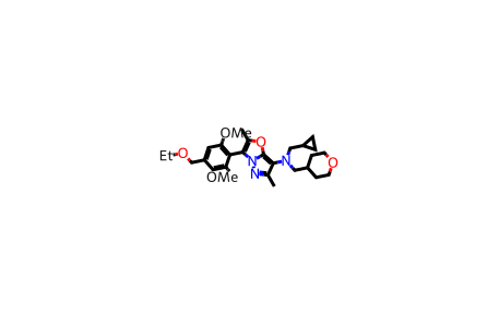 CCOCc1cc(OC)c(-c2c(C)oc3c(N(CC4CCOCC4)CC4CC4)c(C)nn23)c(OC)c1